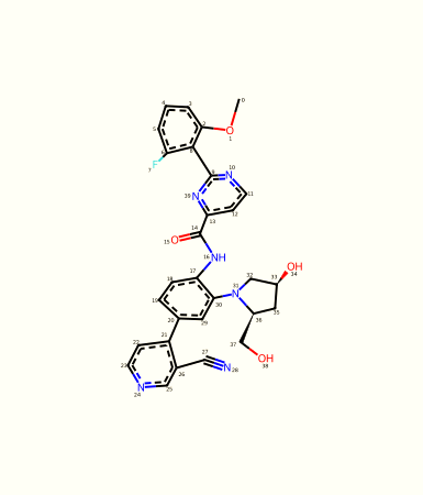 COc1cccc(F)c1-c1nccc(C(=O)Nc2ccc(-c3ccncc3C#N)cc2N2C[C@@H](O)C[C@H]2CO)n1